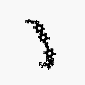 CCCCCc1ccc(-c2ccc(C#Cc3ccc(OC(F)(F)C(F)C(F)(F)F)cc3)cc2)cc1